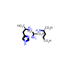 C[C@H](N)C(=O)O.N[C@@H](CCC(=O)O)C(=O)O.N[C@@H](Cc1c[nH]cn1)C(=O)O